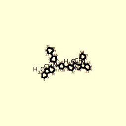 CC1(C)C2=C(C=CCC2)c2ccc(N(c3ccc(-c4ccccc4)cc3)c3ccc(-c4ccc5c(c4)C(C)(C)c4c6c(cn4-5)c4ccccc4n6-c4ccccc4)cc3)cc21